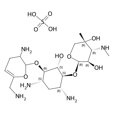 CN[C@@H]1[C@@H](O)[C@@H](O[C@@H]2[C@@H](O)[C@H](OC3OC(CN)=CCC3N)[C@@H](N)C[C@H]2N)OC[C@]1(C)O.O=S(=O)(O)O